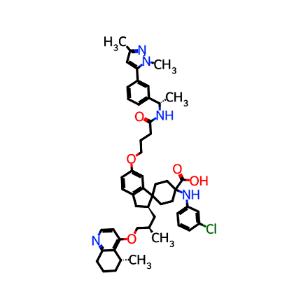 Cc1cc(-c2cccc([C@H](C)NC(=O)CCCOc3ccc4c(c3)C3(CCC(Nc5cccc(Cl)c5)(C(=O)O)CC3)[C@@H](C[C@@H](C)COc3ccnc5c3[C@H](C)CCC5)C4)c2)n(C)n1